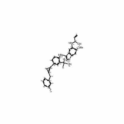 C=CC(O)Nc1cc2c(cc1OC)N=[N+]=C2Nc1ccc(C2=C(Cc3cccc(F)c3)C2)cc1C(C)(C)O